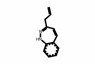 C=CCC1=NNc2ccccc2C=C1